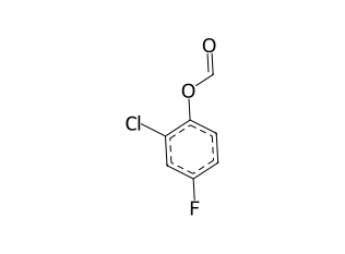 O=COc1ccc(F)cc1Cl